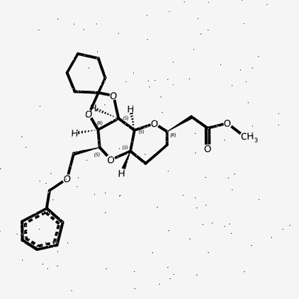 COC(=O)C[C@H]1CC[C@@H]2O[C@@H](COCc3ccccc3)[C@H]3OC4(CCCCC4)O[C@H]3[C@H]2O1